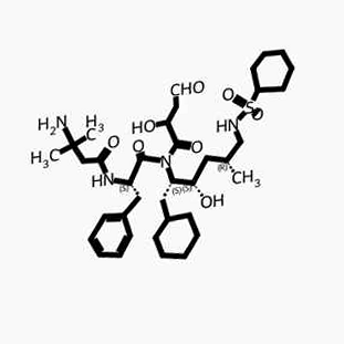 C[C@@H](CNS(=O)(=O)C1CCCCC1)C[C@H](O)[C@H](CC1CCCCC1)N(C(=O)C(O)CC=O)C(=O)[C@H](Cc1ccccc1)NC(=O)CC(C)(C)N